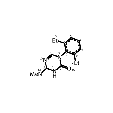 CCc1cccc(CC)c1N1C=NC(NC)NC1=O